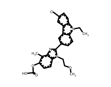 CCn1c2ccc(Cl)cc2c2cc(-c3nc4c(C)c(OC(=O)O)ccc4n3CCOC)ccc21